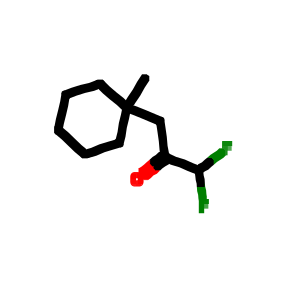 CC1(CC(=O)C(F)F)CCCCC1